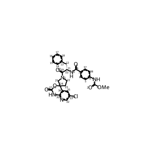 COC(=O)Nc1ccc(C(=O)N[C@@H](Cc2ccccc2)C(=O)N2CCC3(C2)OC(=O)Nc2ncc(Cl)cc23)cc1